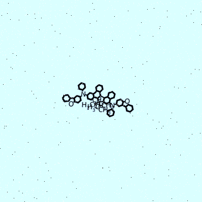 CC(C)(C)C1(C(C)(C)C)c2cc(N(c3ccccc3)c3ccc4oc5ccccc5c4c3)c3ccccc3c2-c2c1c1ccc(N(c3ccccc3)c3ccc4oc5ccccc5c4c3)cc1c1ccccc21